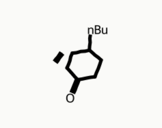 C=C.CCCCC1CCC(=O)CC1